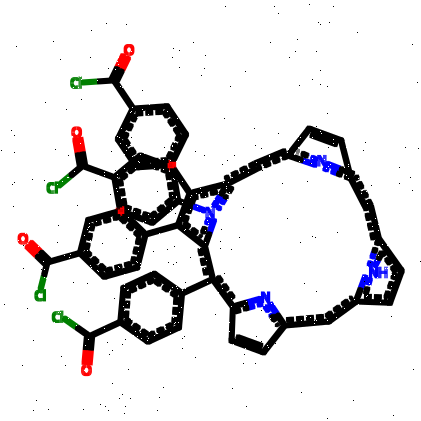 O=C(Cl)c1ccc(-c2c(-c3ccc(C(=O)Cl)cc3)c3c(-c4ccc(C(=O)Cl)cc4)c4nc(cc5ccc(cc6nc(cc2n3-c2ccc(C(=O)Cl)cc2)C=C6)[nH]5)C=C4)cc1